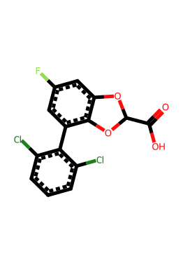 O=C(O)C1Oc2cc(F)cc(-c3c(Cl)cccc3Cl)c2O1